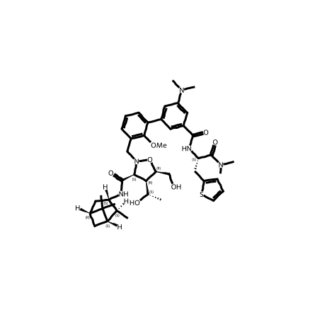 COc1c(CN2O[C@@H](CO)[C@@H]([C@H](C)O)[C@H]2C(=O)N[C@H]2C[C@H]3C[C@@H]([C@@H]2C)C3(C)C)cccc1-c1cc(C(=O)N[C@@H](Cc2cccs2)C(=O)N(C)C)cc(N(C)C)c1